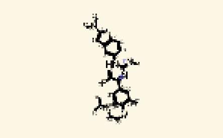 C=C(F)/C(=N\C(=N/C)Nc1ccc2sc(N(C)C)cc2c1)c1cc(F)c2c(c1)N(C(C)C)CCO2